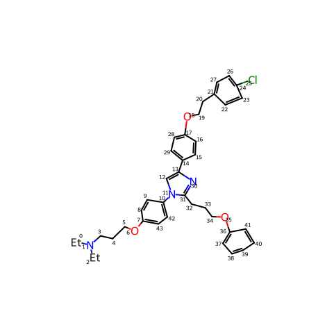 CCN(CC)CCCOc1ccc(-n2cc(-c3ccc(OCCc4ccc(Cl)cc4)cc3)nc2CCCOc2ccccc2)cc1